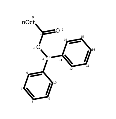 CCCCCCCCC(=O)O[I+](c1ccccc1)c1ccccc1